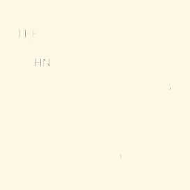 O=C1COc2ccc(NP)cc21